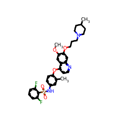 COc1cc2c(Oc3ccc(NS(=O)(=O)c4c(F)cccc4F)cc3C)ccnc2cc1OCCCN1CCC(C)CC1